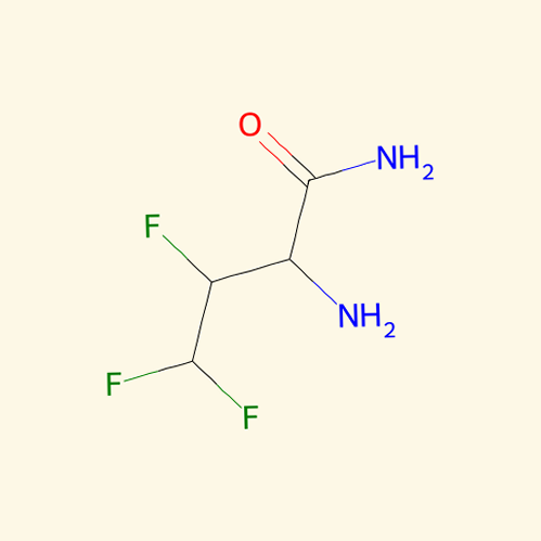 NC(=O)C(N)C(F)C(F)F